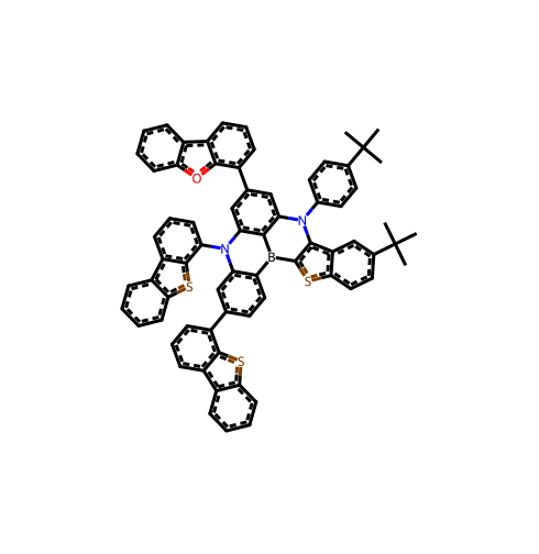 CC(C)(C)c1ccc(N2c3cc(-c4cccc5c4oc4ccccc45)cc4c3B(c3ccc(-c5cccc6c5sc5ccccc56)cc3N4c3cccc4c3sc3ccccc34)c3sc4ccc(C(C)(C)C)cc4c32)cc1